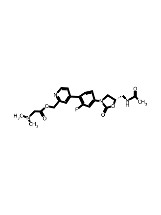 CC(=O)NC[C@H]1CN(c2ccc(-c3ccnc(COC(=O)CN(C)C)c3)c(F)c2)C(=O)O1